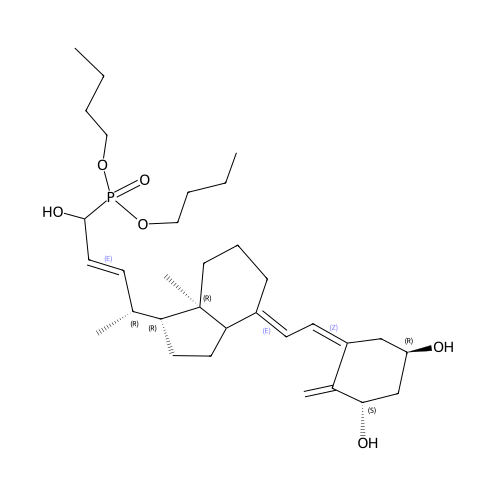 C=C1/C(=C\C=C2/CCC[C@@]3(C)C2CC[C@@H]3[C@H](C)/C=C/C(O)P(=O)(OCCCC)OCCCC)C[C@@H](O)C[C@@H]1O